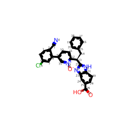 N#Cc1ccc(Cl)cc1-c1ccc([C@@H](Cc2ccccc2)c2nc3cc(C(=O)O)ccc3[nH]2)[n+]([O-])c1